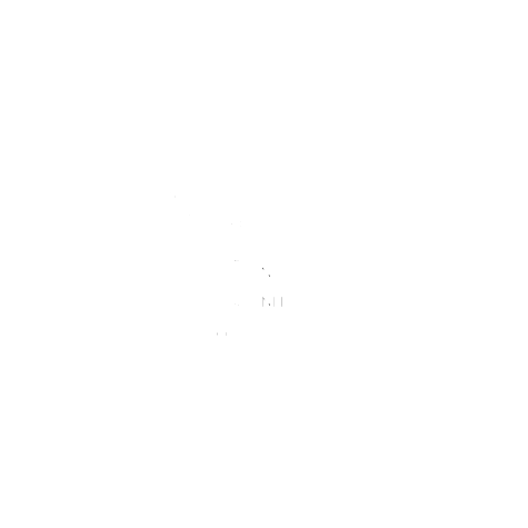 O=C1NN(c2ccc(I)cc2)C(=O)/C1=C\c1ccsc1